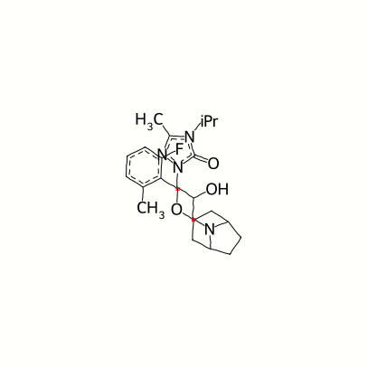 Cc1cccc(F)c1COC1CC2CCC(C1)N2CC(O)Cn1nc(C)n(C(C)C)c1=O